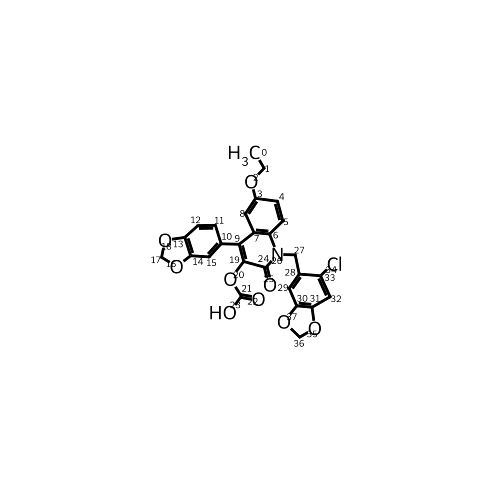 CCOc1ccc2c(c1)c(-c1ccc3c(c1)OCO3)c(OC(=O)O)c(=O)n2Cc1cc2c(cc1Cl)OCO2